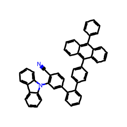 N#Cc1ccc(-c2ccccc2-c2ccc(-c3c4ccccc4c(-c4ccccc4)c4ccccc34)cc2)cc1-n1c2ccccc2c2ccccc21